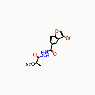 CC(=O)OC(C)C(=O)NNC(=O)c1ccc2occ(Br)c2c1